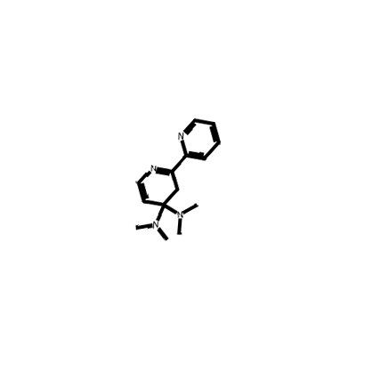 CN(C)C1(N(C)C)C=CN=C(c2ccccn2)C1